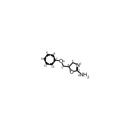 NC1=NCC(COc2ccccc2)O1